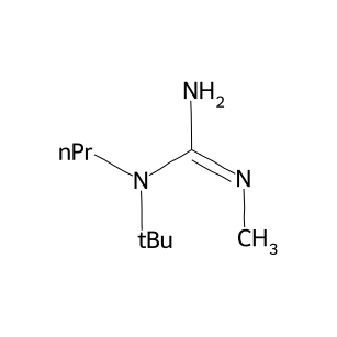 CCCN(/C(N)=N\C)C(C)(C)C